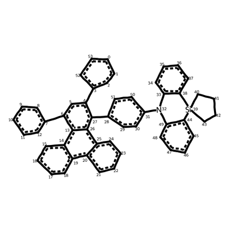 c1ccc(-c2cc(-c3ccccc3)c3c4ccccc4c4ccccc4c3c2-c2ccc(N3c4ccccc4[Si]4(CCCC4)c4ccccc43)cc2)cc1